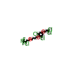 FC(F)(F)C(Cl)=CCOCCCCOc1c(Cl)cc(OCC=C(Cl)Cl)cc1Cl